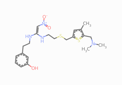 Cc1cc(CSCCNC(=C[N+](=O)[O-])NCCc2cccc(O)c2)sc1CN(C)C